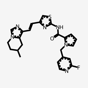 CC1CCn2cnc(/C=C/c3csc(NC(=O)c4cccn4Cc4ccnc(F)c4)n3)c2C1